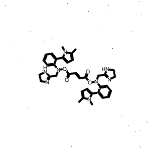 Cc1ccc(-c2ccccc2N(CC2=NCCN2)OC(=O)/C=C/C(=O)ON(CC2=NCCN2)c2ccccc2-c2ccc(C)n2C)n1C